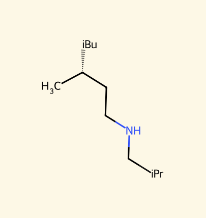 CCC(C)[C@@H](C)CCNCC(C)C